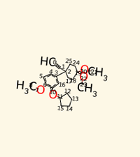 C#CC1(c2ccc(OC)c(OC3CCCC3)c2)CCC(OC)(OC)CC1